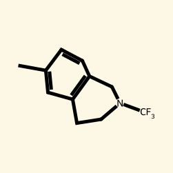 Cc1ccc2c(c1)CCN(C(F)(F)F)C2